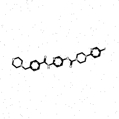 O=C(Nc1ccc(OC(=O)N2CCN(c3ccc(F)cn3)CC2)cn1)c1ccc(CN2CCOCC2)cc1